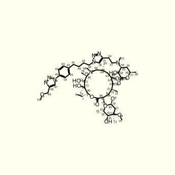 CC[C@H]1OC(=O)[C@H](C)[C@@H](O[C@H]2C[C@@](C)(OC)[C@@H](O)[C@H](C)O2)[C@H](C)[C@@H](O[C@@H]2O[C@H](C)C[C@H](N(C)CCc3cn(CCCCc4ccc(-n5cc(COC)nn5)cc4)nn3)[C@H]2O)[C@](C)(O)C[C@@H](C)CN(C)[C@H](C)[C@@H](O)[C@]1(C)O